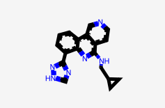 c1cc(-c2nc[nH]n2)c2nc(NCC3CC3)c3ccncc3c2c1